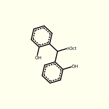 CCCCCCCCC(c1ccccc1O)c1ccccc1O